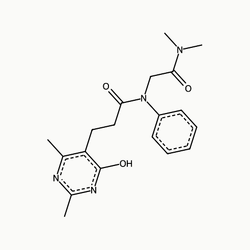 Cc1nc(C)c(CCC(=O)N(CC(=O)N(C)C)c2ccccc2)c(O)n1